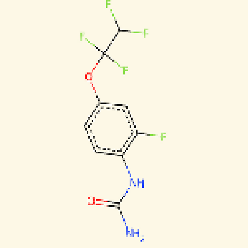 NC(=O)Nc1ccc(OC(F)(F)C(F)F)cc1F